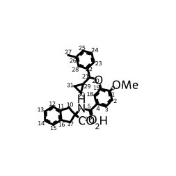 COc1ccc(C(=O)NC2(C(=O)O)Cc3ccccc3C2)cc1OC(c1cccc(C)c1)C1CC1